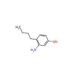 CCCCc1ccc(O)cc1N